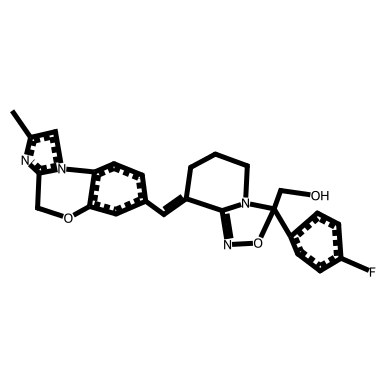 Cc1cn2c(n1)COc1cc(/C=C3\CCCN4C3=NOC4(CO)c3ccc(F)cc3)ccc1-2